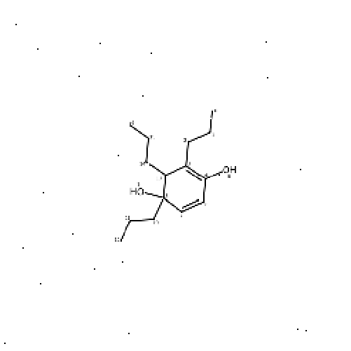 CCCC1=C(O)C=CC(O)(CCC)C1CCC